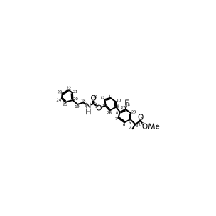 COC(=O)C(C)c1ccc(-c2cccc(OC(=O)NCCc3ccccc3)c2)c(F)c1